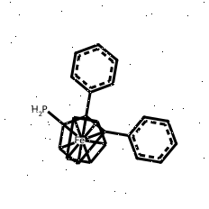 P[C]12[CH]3[CH]4[C]5(c6ccccc6)[C]1(c1ccccc1)[Fe]34251678[CH]2[CH]1[CH]6[CH]7[CH]28